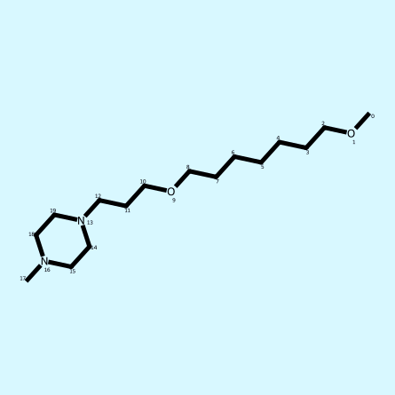 COCCCCCCCOCCCN1CCN(C)CC1